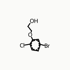 OCCOc1cc(Br)ccc1Cl